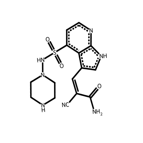 N#CC(=Cc1c[nH]c2nccc(S(=O)(=O)NN3CCNCC3)c12)C(N)=O